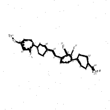 CCOc1ccc(C2CCC(CCc3ccc(C4=CCC(CO)CC4)c(F)c3F)CC2)c(F)c1